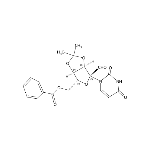 CC1(C)O[C@H]2[C@@H](O1)[C@](C=O)(n1ccc(=O)[nH]c1=O)O[C@@H]2COC(=O)c1ccccc1